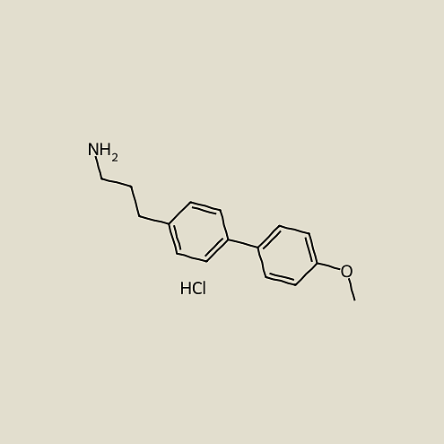 COc1ccc(-c2ccc(CCCN)cc2)cc1.Cl